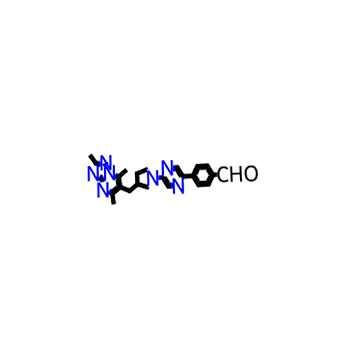 Cc1nc2nc(C)c(CC3CCN(c4cnc(-c5ccc(C=O)cc5)cn4)C3)c(C)n2n1